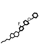 CCCCCC1CCC2CC(c3ccc(-c4ccc(OCc5ccccc5)cc4)c(F)c3)CCC2C1